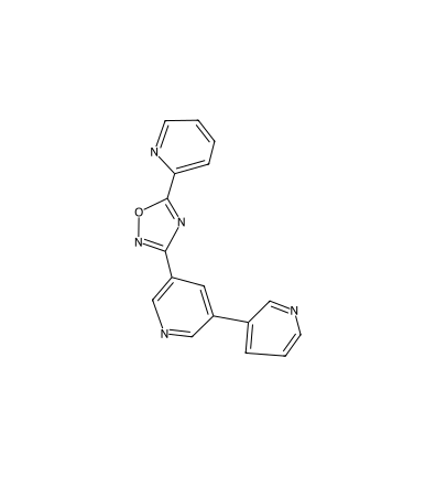 c1ccc(-c2nc(-c3cncc(-c4cccnc4)c3)no2)nc1